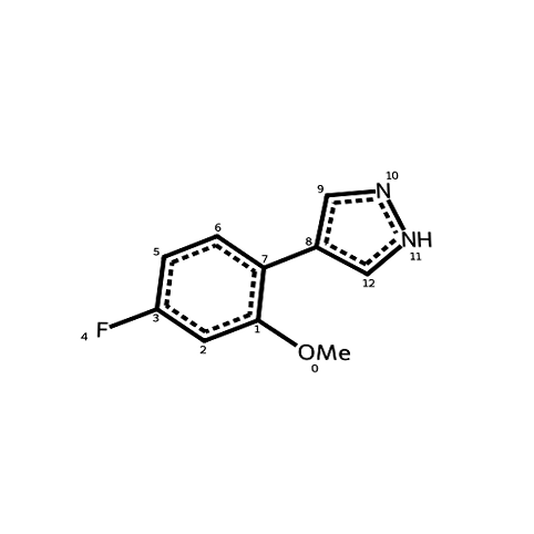 COc1cc(F)ccc1-c1cn[nH]c1